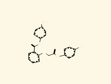 COc1ccc(NC(=O)c2ccccc2OCC(=O)Nc2ccc(Br)cc2)cc1